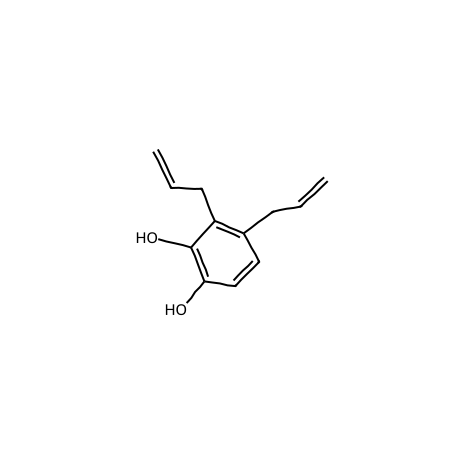 C=CCc1ccc(O)c(O)c1CC=C